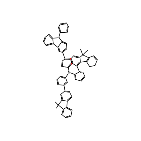 CC1(C)C2=C(CCC=C2)c2c(-c3ccccc3N(c3ccc(-c4ccc5c(c4)c4ccccc4n5-c4ccccc4)cc3)c3cccc(-c4ccc5c(c4)C(C)(C)c4ccccc4-5)c3)cccc21